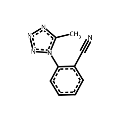 Cc1nnnn1-c1ccccc1C#N